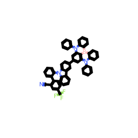 N#Cc1cc(C(F)(F)F)ccc1-c1ccccc1-n1c2ccccc2c2cc(-c3cc4c5c(c3)N(c3ccccc3)c3ccccc3B5c3ccccc3N4c3ccccc3)ccc21